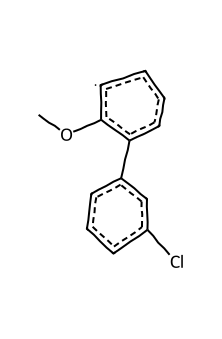 COc1[c]cccc1-c1cccc(Cl)c1